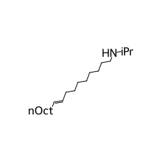 CCCCCCCCC=CCCCCCCCCNC(C)C